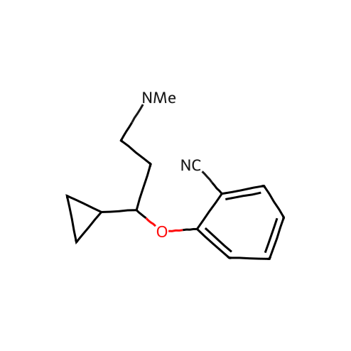 CNCCC(Oc1ccccc1C#N)C1CC1